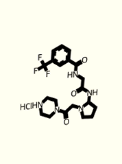 Cl.O=C(CNC(=O)c1cccc(C(F)(F)F)c1)NC1CCCN1CC(=O)N1CCNCC1